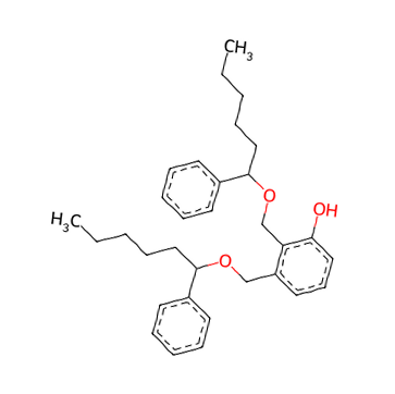 CCCCCC(OCc1cccc(O)c1COC(CCCCC)c1ccccc1)c1ccccc1